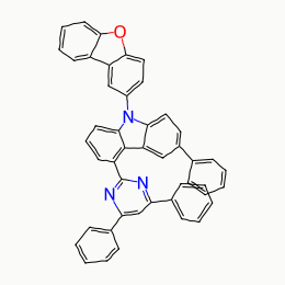 c1ccc(-c2ccc3c(c2)c2c(-c4nc(-c5ccccc5)cc(-c5ccccc5)n4)cccc2n3-c2ccc3oc4ccccc4c3c2)cc1